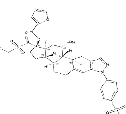 C[C@]12Cc3cnn(-c4ccc(S(C)(=O)=O)cc4)c3C=C1CC[C@@H]1[C@@H]2[C@@H](O)C[C@@]2(C)[C@H]1CC[C@]2(OC(=O)c1ccco1)C(=O)S(=O)(=O)CC#N